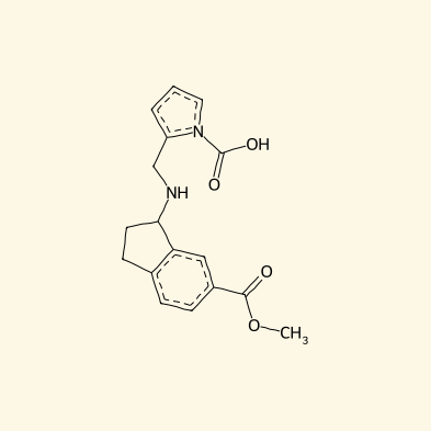 COC(=O)c1ccc2c(c1)C(NCc1cccn1C(=O)O)CC2